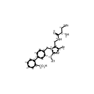 CCOc1nc(Br)c(CNC(=O)[C@@H](S)CC(C)C)n1Cc1ccc(-c2ccccc2C(=O)O)cc1